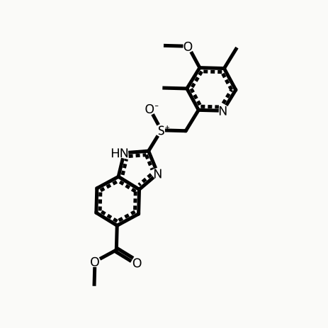 COC(=O)c1ccc2[nH]c([S+]([O-])Cc3ncc(C)c(OC)c3C)nc2c1